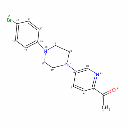 CC(=O)c1ccc(N2CCN(c3ccc(Br)cc3)CC2)cn1